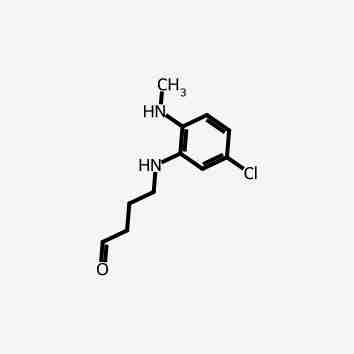 CNc1ccc(Cl)cc1NCCCC=O